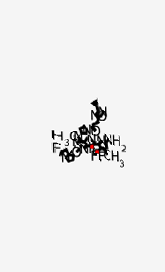 Cc1cc(N)nc(-c2ncc3c(N(C)[C@@H]4CCN(C(=O)/C=C/c5nc(C6CC6)no5)C4)nc(OC[C@@]45CCCN4C[C@H](F)C5)nc3c2F)c1C(F)(F)F